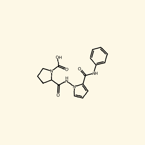 O=C(Nc1ccccc1)c1cccn1NC(=O)C1CCCN1C(=O)O